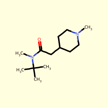 CN1CCC(CC(=O)N(C)C(C)(C)C)CC1